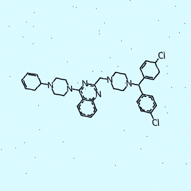 Clc1ccc(C(C2=CCC(Cl)C=C2)N2CCN(Cc3nc(N4CCN(C5C=CC=CC5)CC4)c4ccccc4n3)CC2)cc1